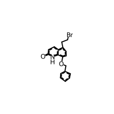 O=c1ccc2c(CCBr)ccc(OCc3ccccc3)c2[nH]1